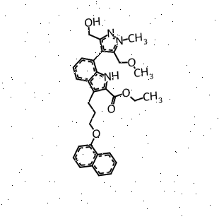 CCOC(=O)c1[nH]c2c(-c3c(CO)nn(C)c3COC)cccc2c1CCCOc1cccc2ccccc12